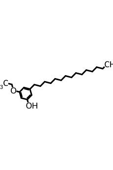 CCCCCCCCCCCCCCCc1cc(O)cc(OCC)c1